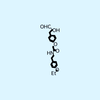 CCOc1ccc(CCNC(=O)COc2ccc(C[C@@H](O)C=O)cc2)cc1